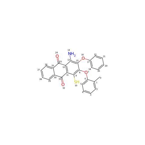 Cc1ccccc1Oc1c(S)c2c(c(N)c1Oc1ccccc1)C(=O)c1ccccc1C2=O